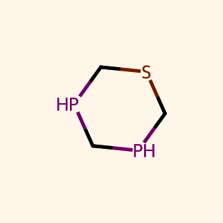 C1PCSCP1